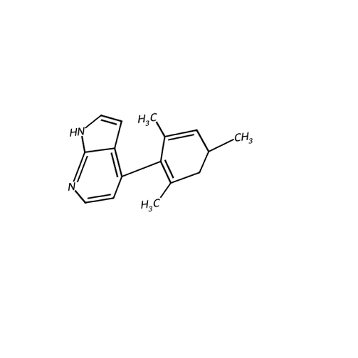 CC1=CC(C)CC(C)=C1c1ccnc2[nH]ccc12